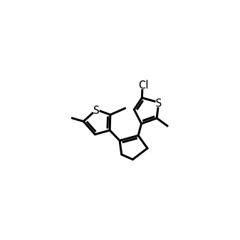 Cc1cc(C2=C(c3cc(Cl)sc3C)CCC2)c(C)s1